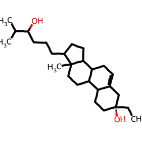 CC[C@]1(O)CCC2C(=CCC3C2CCC2(C)C(CCCC(O)C(C)C)CCC32)C1